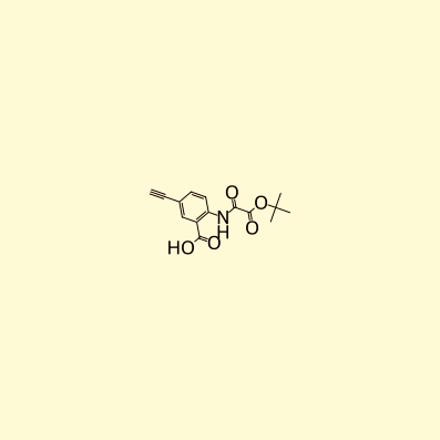 C#Cc1ccc(NC(=O)C(=O)OC(C)(C)C)c(C(=O)O)c1